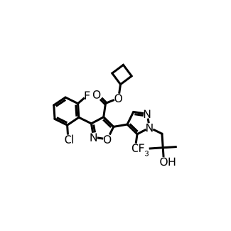 CC(C)(O)Cn1ncc(-c2onc(-c3c(F)cccc3Cl)c2C(=O)OC2CCC2)c1C(F)(F)F